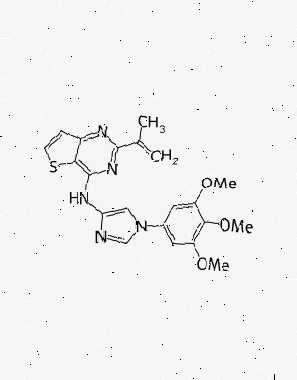 C=C(C)c1nc(Nc2cn(-c3cc(OC)c(OC)c(OC)c3)cn2)c2sccc2n1